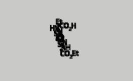 CCOC(=O)CNc1nc2cc3nc(NC(CC)C(=O)O)sc3cc2s1